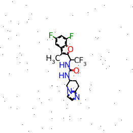 Cc1c(C(NC(=O)NC2CCc3nccn3C2)C(F)(F)F)oc2c(F)cc(F)cc12